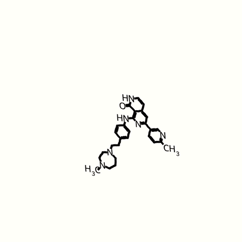 Cc1ccc(-c2cc3cc[nH]c(=O)c3c(Nc3ccc(CCN4CCCN(C)CC4)cc3)n2)cn1